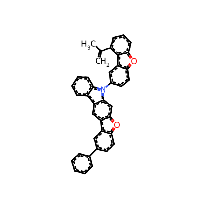 C=C(C)c1cccc2oc3ccc(-n4c5ccccc5c5cc6c(cc54)oc4ccc(-c5ccccc5)cc46)cc3c12